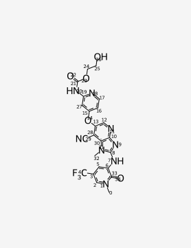 Cn1cc(C(F)(F)F)cc(Nc2nc3ncc(Oc4ccnc(NC(=O)OCCO)c4)c(C#N)c3n2C)c1=O